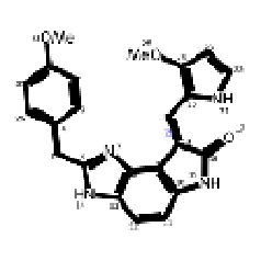 COc1ccc(Cc2nc3c4c(ccc3[nH]2)NC(=O)/C4=C\c2[nH]ccc2OC)cc1